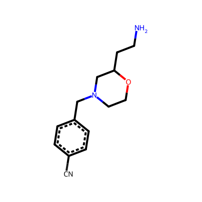 N#Cc1ccc(CN2CCOC(CCN)C2)cc1